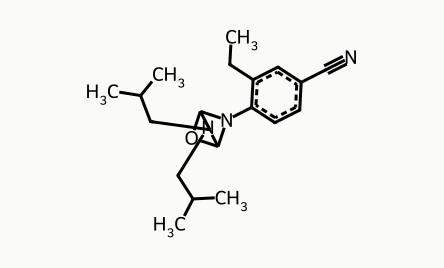 CCc1cc(C#N)ccc1N1C2OC1N(CC(C)C)C2CC(C)C